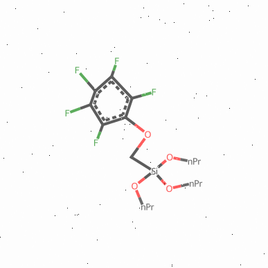 CCCO[Si](COc1c(F)c(F)c(F)c(F)c1F)(OCCC)OCCC